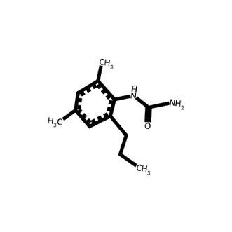 CCCc1cc(C)cc(C)c1NC(N)=O